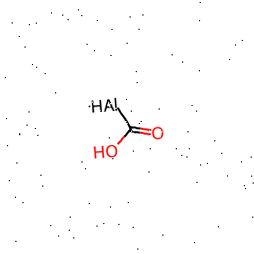 O=[C](O)[AlH]